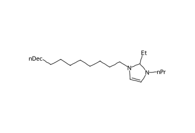 CCCCCCCCCCCCCCCCCCN1C=CN(CCC)C1CC